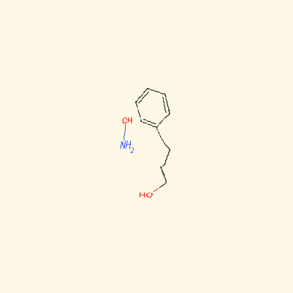 NO.OCCCc1ccccc1